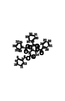 O=C(O[C@@H]1[C@@H](OCc2ccccc2)OC[C@@H](OC(=O)c2ccccc2)[C@H]1OC(=O)c1ccccc1)c1ccccc1